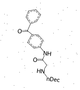 CCCCCCCCCCNCC(=O)Nc1ccc(C(=O)c2ccccc2)cc1